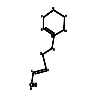 OC=CCCC1=CCCCC1